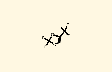 FC1(F)OC=C(C(F)(F)F)O1